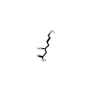 CC/C=C/CC(O)CC(=O)O